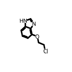 ClCCOc1cccc2[nH]cnc12